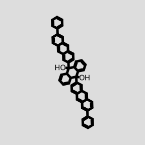 OC1(c2ccc3cc4cc(-c5ccccc5)ccc4cc3c2)c2ccccc2C(O)(c2ccc3cc4cc(-c5ccccc5)ccc4cc3c2)C2C=CC=CC21